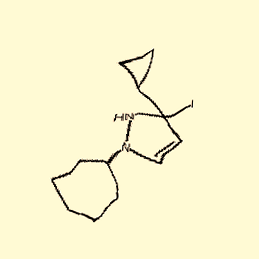 IC1(C2CC2)C=CN(C2CCCCC2)N1